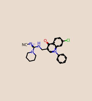 N#C/N=C(/NCc1cn(-c2ccccc2)c2cc(Cl)ccc2c1=O)N1CCCCC1